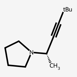 C[C@@H](C#CC(C)(C)C)N1CCCC1